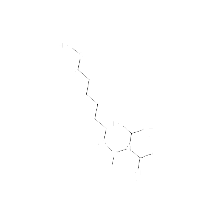 CSCCCCCCOP(C)N(C(C)C)C(C)C